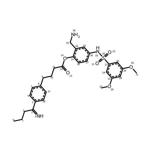 CCCC(=N)c1ccc(CCCC(=O)Oc2ccc(NS(=O)(=O)c3cc(OC)cc(OC)c3)cc2CN)cc1